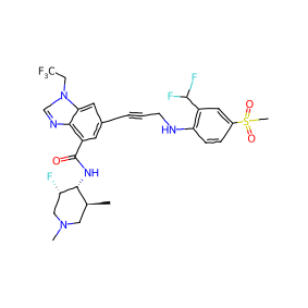 C[C@H]1CN(C)C[C@H](F)[C@@H]1NC(=O)c1cc(C#CCNc2ccc(S(C)(=O)=O)cc2C(F)F)cc2c1ncn2CC(F)(F)F